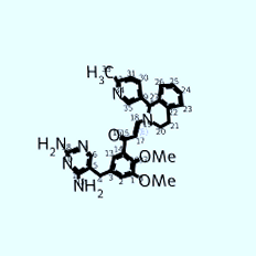 COc1cc(Cc2cnc(N)nc2N)cc(C(=O)/C=C/N2CCc3ccccc3C2c2ccc(C)nc2)c1OC